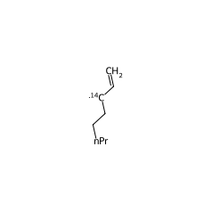 C=C[14CH]CCCCC